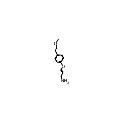 COCCc1ccc(O/C=C/CN)cc1